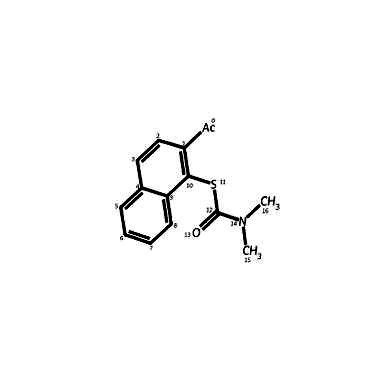 CC(=O)c1ccc2ccccc2c1SC(=O)N(C)C